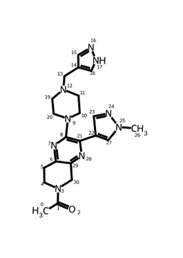 CC(=O)N1CCc2nc(N3CCN(Cc4cn[nH]c4)CC3)c(-c3cnn(C)c3)nc2C1